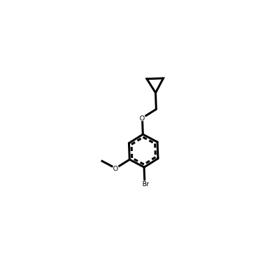 COc1cc(OCC2CC2)ccc1Br